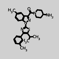 Cc1cccc(-c2nc(-n3nc(C(=O)N4CCC(N)CC4)c4cc(C)ccc43)sc2C(C)C)c1